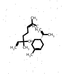 C=C(C)[C@@H]1CC=C(C)CC1.C=CC(C)(O)CCC=C(C)C